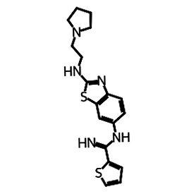 N=C(Nc1ccc2nc(NCCN3CCCC3)sc2c1)c1cccs1